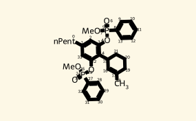 CCCCCc1cc(OP(=O)(OC)c2ccccc2)c(C2C=C(C)CCC2)c(OP(=O)(OC)c2ccccc2)c1